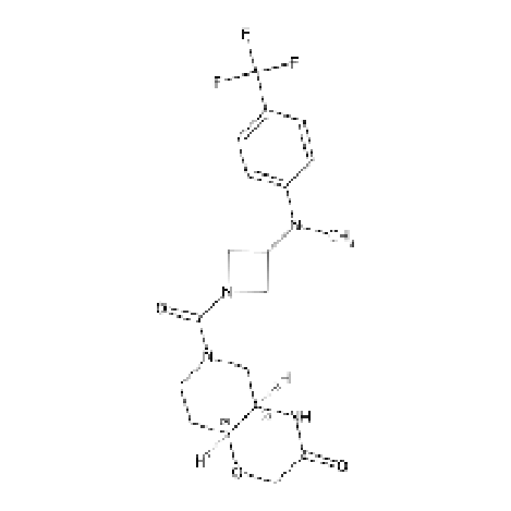 CN(c1ccc(C(F)(F)F)cc1)C1CN(C(=O)N2CC[C@@H]3OCC(=O)N[C@@H]3C2)C1